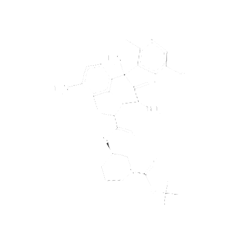 Cc1ccc(Br)cc1C1(N)C(=O)C(N)C2c3c1ccc(N)c3SC2C(=O)N[C@@H]1CCCN(C(=O)OC(C)(C)C)C1